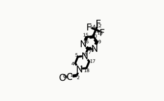 O=C=CN1CCN(c2ncc(C(F)(F)F)cn2)CC1